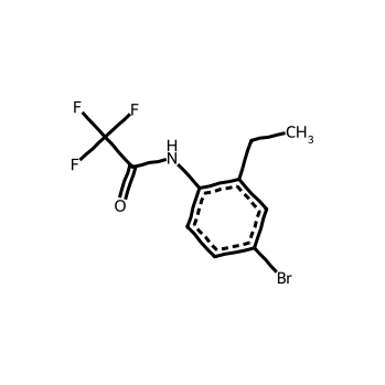 CCc1cc(Br)ccc1NC(=O)C(F)(F)F